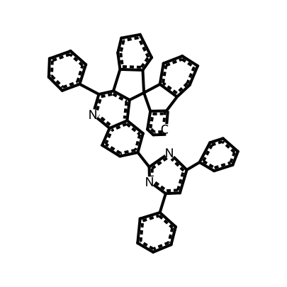 c1ccc(-c2cc(-c3ccccc3)nc(-c3ccc4nc(-c5ccccc5)c5c(c4c3)C3(c4ccccc4-c4ccccc43)c3ccccc3-5)n2)cc1